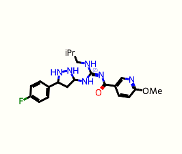 COc1ccc(C(=O)/N=C(/NCC(C)C)NC2CC(c3ccc(F)cc3)NN2)cn1